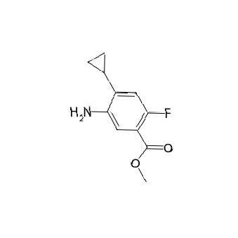 COC(=O)c1cc(N)c(C2CC2)cc1F